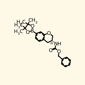 CC1(C)OB(c2ccc3c(c2)OC[C@H](NC(=O)OCc2ccccc2)C3)OC1(C)C